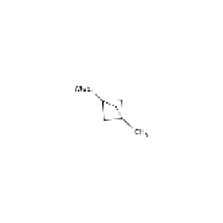 CSC12CC(C)(C1)C2